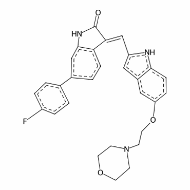 O=C1Nc2cc(-c3ccc(F)cc3)ccc2/C1=C\c1cc2cc(OCCN3CCOCC3)ccc2[nH]1